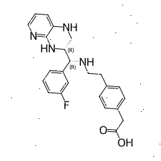 O=C(O)Cc1ccc(CCN[C@H](c2cccc(F)c2)[C@H]2CNc3cccnc3N2)cc1